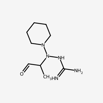 CC(C=O)N(NC(=N)N)N1CCCCC1